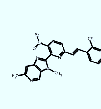 CC[S+]([O-])c1ccc(/C=C/c2ccccc2C(F)(F)F)nc1-c1nc2cc(C(F)(F)F)ncc2n1C